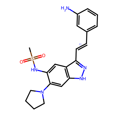 CS(=O)(=O)Nc1cc2c(/C=C/c3cccc(N)c3)n[nH]c2cc1N1CCCC1